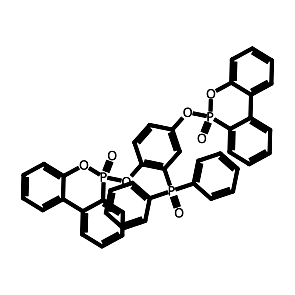 O=P1(Oc2ccc(OP3(=O)Oc4ccccc4-c4ccccc43)c(P(=O)(c3ccccc3)c3ccccc3)c2)Oc2ccccc2-c2ccccc21